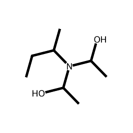 CCC(C)N(C(C)O)C(C)O